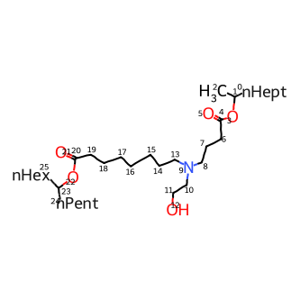 CCCCCCCC(C)OC(=O)CCCN(CCO)CCCCCCCC(=O)OC(CCCCC)CCCCCC